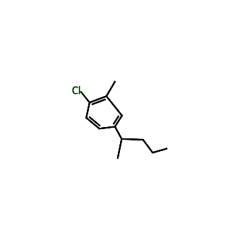 CCCC(C)c1ccc(Cl)c(C)c1